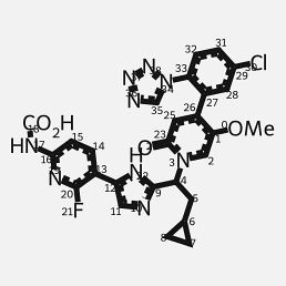 COc1cn(C(CC2CC2)c2ncc(-c3ccc(NC(=O)O)nc3F)[nH]2)c(=O)cc1-c1cc(Cl)ccc1-n1cnnn1